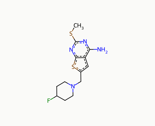 CSc1nc(N)c2cc(CN3CCC(F)CC3)sc2n1